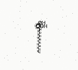 CCCCCCCCCCCCCC=Cc1cccc(O)c1O